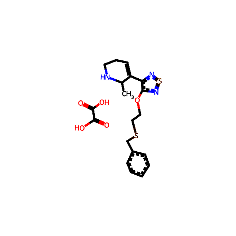 CC1NCCC=C1c1nsnc1OCCSCc1ccccc1.O=C(O)C(=O)O